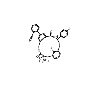 CC1(N)Cc2cccc(c2F)CCC(c2ccc(F)cc2)NC(=O)c2cc(cc(-c3ccccc3C#N)c2)COC1=O